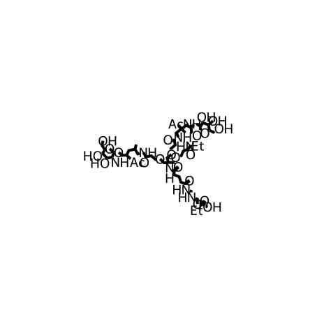 CCNC(=O)CCOCC(COCCC(=O)NCC(C)CC(C)COC1OC(CO)C(O)C(O)C1NC(C)=O)(COCCC(=O)NCC(C)(C)CC(C)COC1OC(CO)C(O)C(O)C1NC(C)=O)NC(=O)CCCC(=O)NCNCOP(=O)(O)CC